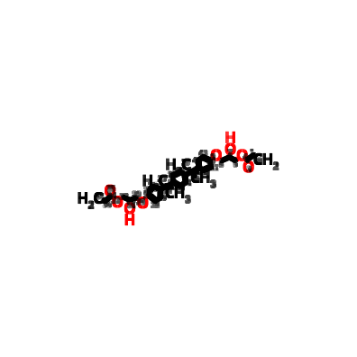 C=CC(=O)OCC(O)COc1ccc(C(C)(C)c2ccc(C(C)(C)c3ccc(OCC(O)COC(=O)C=C)cc3)cc2)cc1